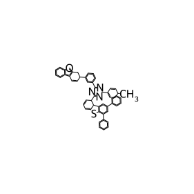 CC1C=CC(c2nc(-c3cccc(C4C=Cc5c(oc6ccccc56)C4)c3)nc(C3C=CC=C4Sc5c(-c6ccccc6)cc(-c6ccccc6)cc5C43)n2)=CC1